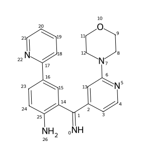 N=C(c1ccnc(N2CCOCC2)c1)c1cc(-c2ccccn2)ccc1N